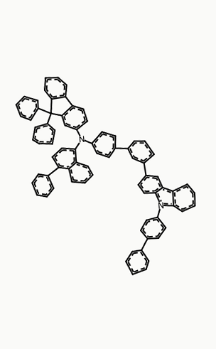 c1ccc(-c2ccc(-n3c4ccccc4c4cc(-c5cccc(-c6ccc(N(c7ccc8c(c7)C(c7ccccc7)(c7ccccc7)c7ccccc7-8)c7ccc(-c8ccccc8)c8ccccc78)cc6)c5)ccc43)cc2)cc1